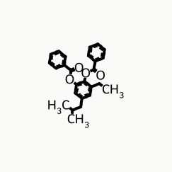 CCc1cc(CC(C)C)cc(OC(=O)c2ccccc2)c1OC(=O)c1ccccc1